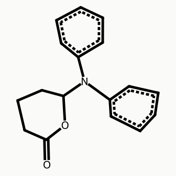 O=C1CCCC(N(c2ccccc2)c2ccccc2)O1